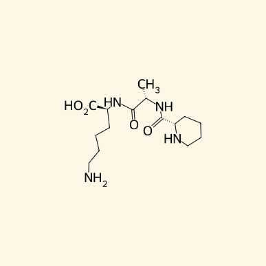 C[C@H](NC(=O)[C@@H]1CCCCN1)C(=O)N[C@@H](CCCCN)C(=O)O